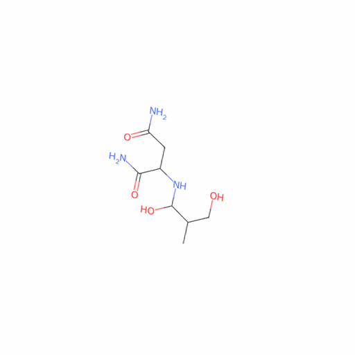 CC(CO)C(O)NC(CC(N)=O)C(N)=O